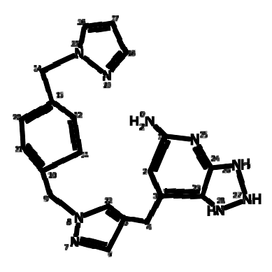 Nc1cc(Cc2cnn(Cc3ccc(Cn4cccn4)cc3)c2)c2c(n1)NNN2